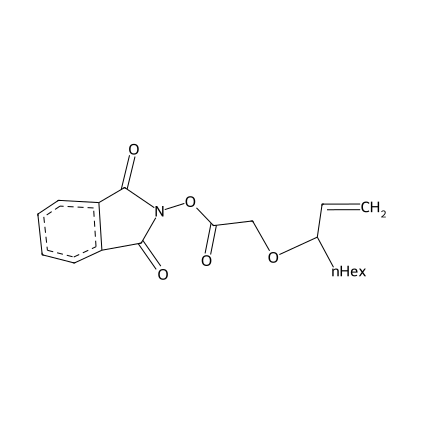 C=CC(CCCCCC)OCC(=O)ON1C(=O)c2ccccc2C1=O